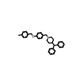 Cc1ccc(COc2ccc(CN3CCC(C(c4ccccc4)c4ccccc4)CC3)cc2)cc1